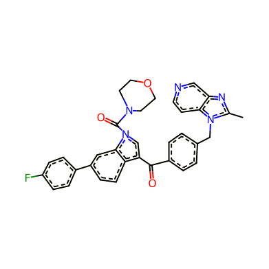 Cc1nc2cnccc2n1Cc1ccc(C(=O)c2cn(C(=O)N3CCOCC3)c3cc(-c4ccc(F)cc4)ccc23)cc1